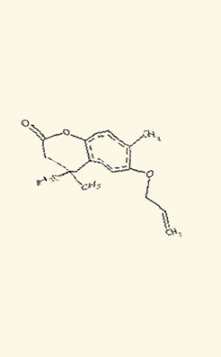 C=CCOc1cc2c(cc1C)OC(=O)CC2(C)C